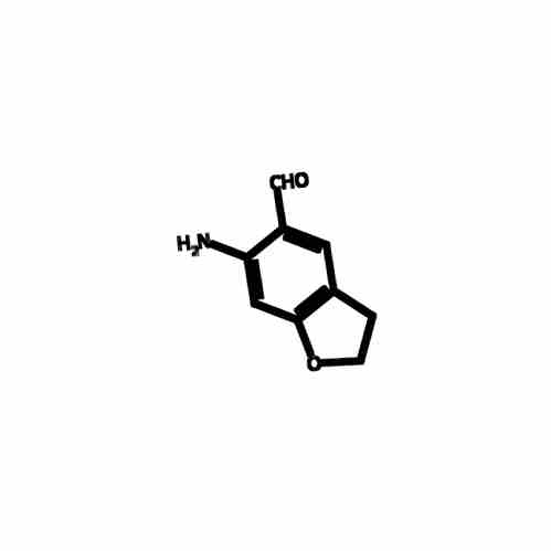 Nc1cc2c(cc1C=O)CCO2